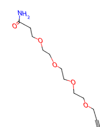 C#CCOCCOCCOCCOCCC(N)=O